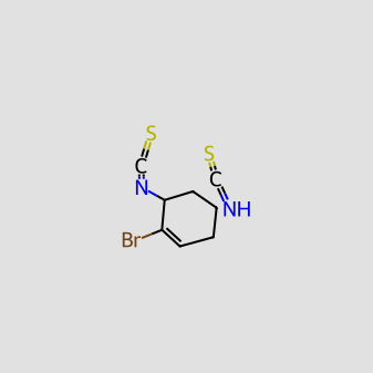 N=C=S.S=C=NC1CCCC=C1Br